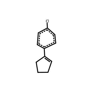 Clc1ccc(C2=CCCC2)cc1